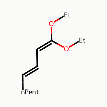 CCCCCC=CC=C(OCC)OCC